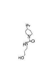 CC(C)C1CCN(C(=O)NCCCO)CC1